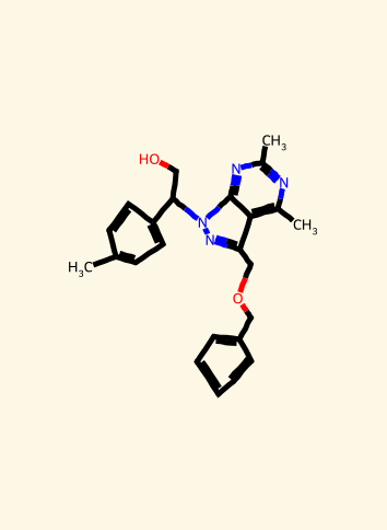 Cc1ccc(C(CO)n2nc(COCc3ccccc3)c3c(C)nc(C)nc32)cc1